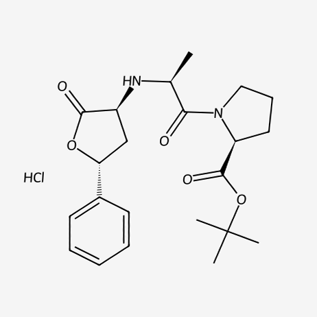 C[C@H](N[C@H]1C[C@H](c2ccccc2)OC1=O)C(=O)N1CCC[C@H]1C(=O)OC(C)(C)C.Cl